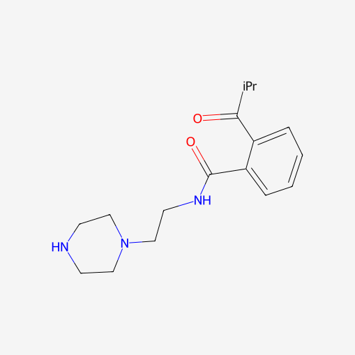 CC(C)C(=O)c1ccccc1C(=O)NCCN1CCNCC1